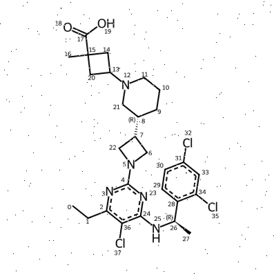 CCc1nc(N2CC([C@H]3CCCN(C4CC(C)(C(=O)O)C4)C3)C2)nc(N[C@H](C)c2ccc(Cl)cc2Cl)c1Cl